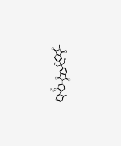 Cc1ccccc1-c1ccc(N2C(=O)c3ccc(C(CF)(CF)c4ccc5c(c4)C(=O)N(C)C5=O)cc3C2=O)cc1C(F)(F)F